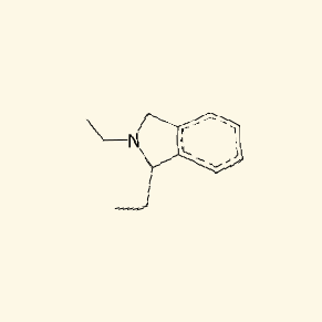 CCC1c2ccccc2CN1CC